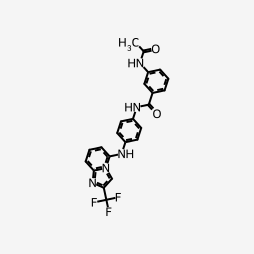 CC(=O)Nc1cccc(C(=O)Nc2ccc(Nc3cccc4nc(C(F)(F)F)cn34)cc2)c1